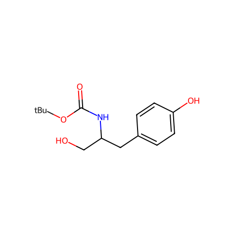 CC(C)(C)OC(=O)NC(CO)Cc1ccc(O)cc1